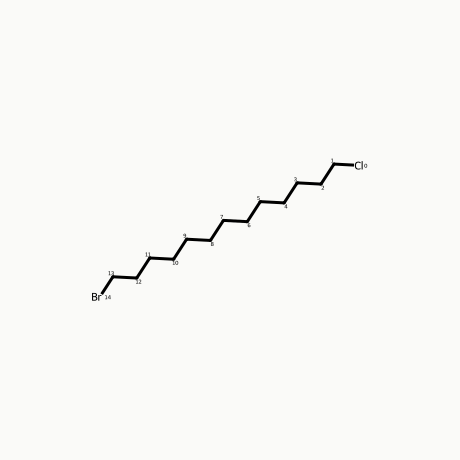 ClCCCCCCCCCCCCCBr